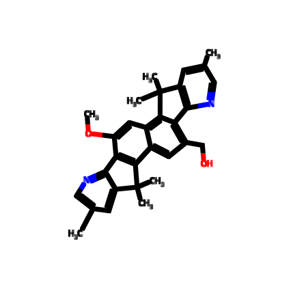 COc1cc2c3c(c(CO)cc2c2c1-c1ncc(C)cc1C2(C)C)-c1ncc(C)cc1C3(C)C